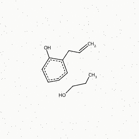 C=CCc1ccccc1O.CCCO